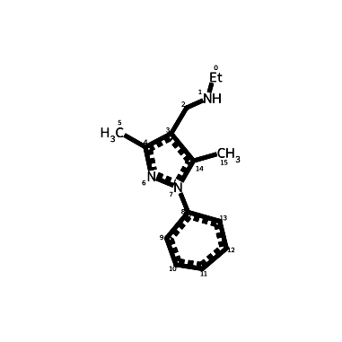 CCNCc1c(C)nn(-c2ccccc2)c1C